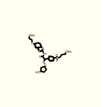 CNCCOc1ccc2nc(NC(=O)/C(=N/O[C@@H]3CC[C@@H](O)C3)c3ccc(S(=O)(=O)CCCOC)cc3)sc2c1